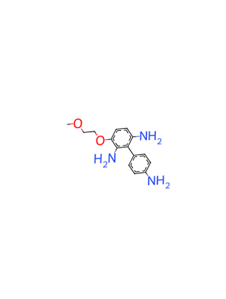 COCCOc1ccc(N)c(-c2ccc(N)cc2)c1N